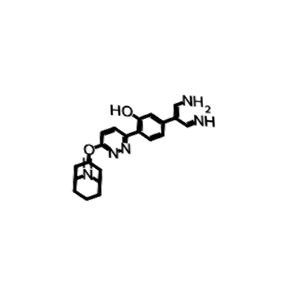 N=C/C(=C\N)c1ccc(-c2ccc(OC3CC4CCCC(C3)N4)nn2)c(O)c1